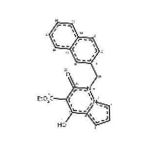 CCOC(=O)c1c(O)c2cccn2n(Cc2ccc3ccccc3c2)c1=O